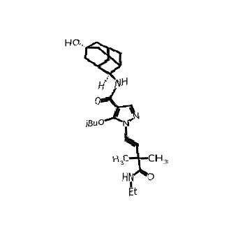 CCNC(=O)C(C)(C)/C=C/n1ncc(C(=O)N[C@H]2C3CC4CC2C[C@](O)(C4)C3)c1OCC(C)C